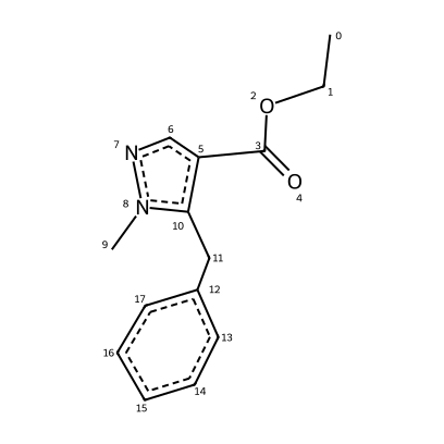 CCOC(=O)c1cnn(C)c1Cc1ccccc1